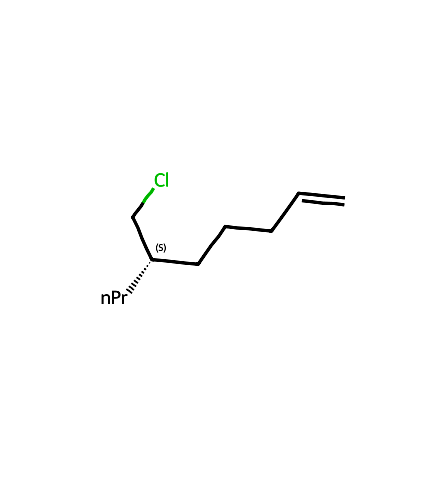 C=CCCC[C@@H](CCl)CCC